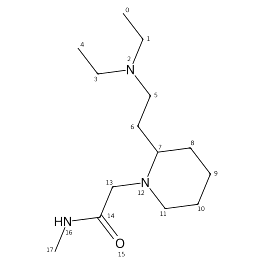 CCN(CC)CCC1CCCCN1CC(=O)NC